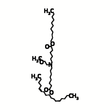 CCCC/C=C\CCC(CC/C=C\CCCC)OC(=O)CCCCCCCN(CCCCCC(=O)OCCCCCCCCCCC)CCOC